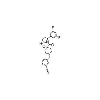 N#Cc1cccc(CN2CCC3(CC2)O[C@@H]2CC[C@@H](c4cc(F)cc(F)c4)N2C3=O)c1